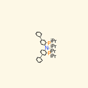 CC(C)P(c1cc(-c2ccccc2)ccc1N(C)c1ccc(-c2ccccc2)cc1P(C(C)C)C(C)C)C(C)C